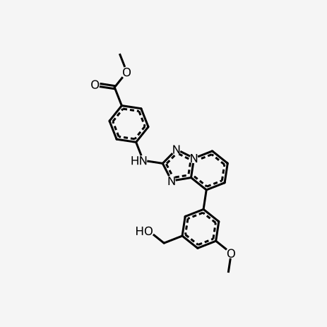 COC(=O)c1ccc(Nc2nc3c(-c4cc(CO)cc(OC)c4)cccn3n2)cc1